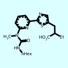 CCCCCCNC(=O)N(C)c1cccc(-c2ncc(CC(CC)C(=O)O)s2)n1